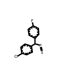 Fc1ccc(C(P=S)c2ccc(Cl)cc2)cc1